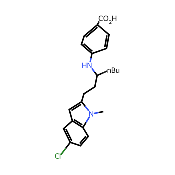 CCCCC(CCc1cc2cc(Cl)ccc2n1C)Nc1ccc(C(=O)O)cc1